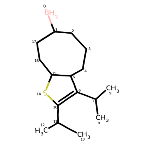 BC1CCCC2C(C(C)C)=C(C(C)C)SC2CC1